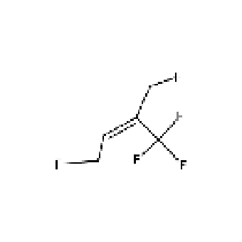 FC/C=C(/CF)C(F)(F)F